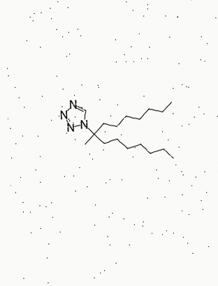 CCCCCCCC(C)(CCCCCCC)n1cnnn1